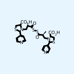 C[C@@H](CN1C(C(=O)O)CSC1c1ccncc1)C(=O)SSC(=O)[C@@H](C)CN1C(C(=O)O)CSC1c1ccncc1